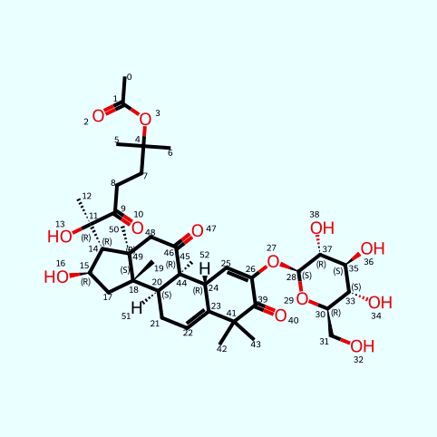 CC(=O)OC(C)(C)CCC(=O)[C@](C)(O)[C@H]1[C@H](O)C[C@@]2(C)[C@@H]3CC=C4[C@@H](C=C(O[C@@H]5O[C@H](CO)[C@@H](O)[C@H](O)[C@H]5O)C(=O)C4(C)C)[C@]3(C)C(=O)C[C@]12C